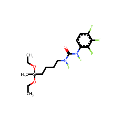 CCO[Si](C)(CCCCN(F)C(=O)N(F)c1ccc(F)c(F)c1F)OCC